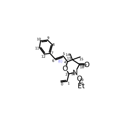 C=CC1OC(/C=C/c2ccccc2)C(C)(C)C(=O)N1OCC